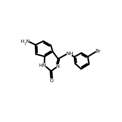 Nc1ccc2c(Nc3cccc(Br)c3)nc(=O)[nH]c2c1